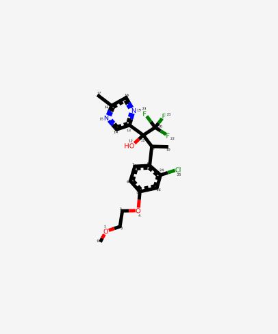 COCCOc1ccc(C(C)C(O)(c2cnc(C)cn2)C(F)(F)F)c(Cl)c1